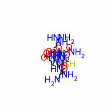 CCCC[C@H](NC(=O)[C@H](CCCNC(=N)N)NC(=O)[C@H](CCC(N)=O)NC(=O)[C@H](CS)NC(=O)[C@H](CCCCN)NC(=O)[C@@H](N)CCN)C(=O)O